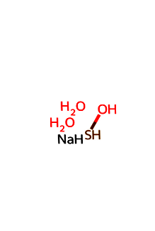 O.O.OS.[NaH]